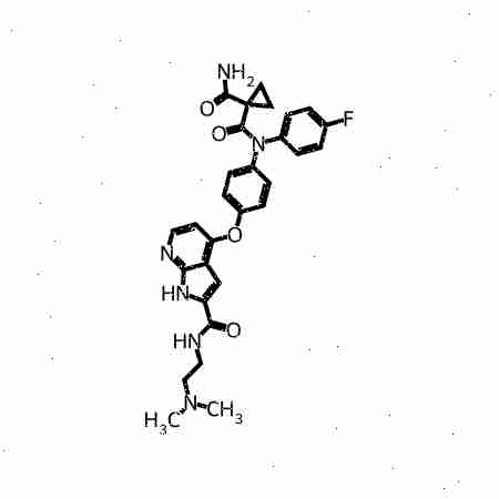 CN(C)CCNC(=O)c1cc2c(Oc3ccc(N(C(=O)C4(C(N)=O)CC4)c4ccc(F)cc4)cc3)ccnc2[nH]1